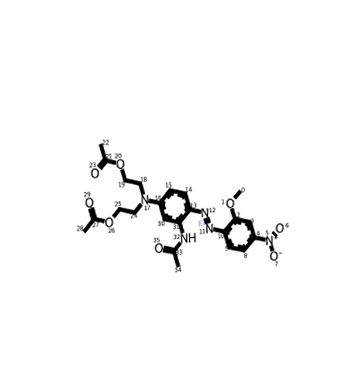 COc1cc([N+](=O)[O-])ccc1/N=N/c1ccc(N(CCOC(C)=O)CCOC(C)=O)cc1NC(C)=O